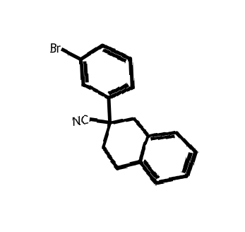 N#CC1(c2cccc(Br)c2)CCc2ccccc2C1